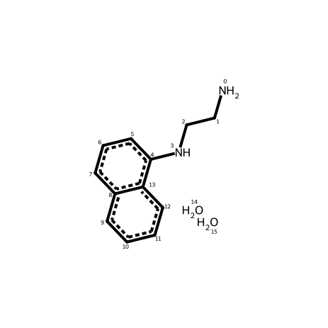 NCCNc1cccc2ccccc12.O.O